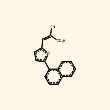 N#CC(=Cc1ccc(-c2cccc3ccccc23)o1)C(=O)O